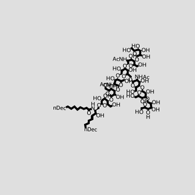 CCCCCCCCCCCCC/C=C/[C@@H](O)[C@H](CO[C@@H]1OC(CO)[C@@H](O[C@@H]2OC(CO)[C@H](O)[C@H](O[C@@H]3OC(CO)[C@@H](O[C@@H]4OC(CO[C@@H]5OC(CO)[C@@H](O[C@@H]6OC(CO)[C@H](O)[C@H](O[C@@H]7OC(CO)[C@H](O)[C@H](O)C7O)C6O)[C@H](O)C5NC(C)=O)[C@H](O)[C@H](O[C@@H]5OC(CO)[C@@H](O[C@@H]6OC(CO)[C@H](O)[C@H](O)C6O)[C@H](O)C5NC(C)=O)C4O)[C@H](O)C3NC(C)=O)C2O)[C@H](O)C1O)NC(=O)CCCCCCCCCCCCCCCCC